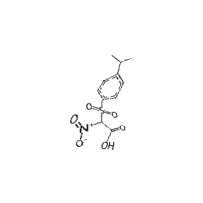 CC(C)c1ccc(S(=O)(=O)C(C(=O)O)[N+](=O)[O-])cc1